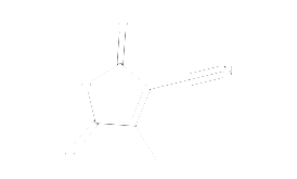 CC1=C(C#N)C(=O)OC1=O